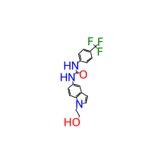 O=C(Nc1ccc(C(F)(F)F)cc1)Nc1ccc2c(ccn2CCO)c1